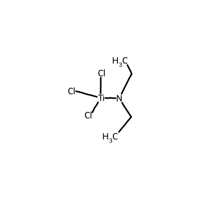 CC[N](CC)[Ti]([Cl])([Cl])[Cl]